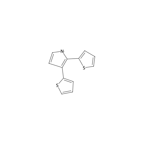 C1=CC(c2cccs2)=C(c2cccs2)[N]1